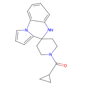 O=C(C1CC1)N1CCC2(CC1)Nc1ccccc1-n1cccc12